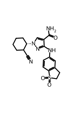 N#CC1CCCC[C@@H]1n1cc(C(N)=O)c(Nc2ccc3c(c2)CCS3(=O)=O)n1